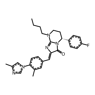 CCCCN1CC[C@H](c2ccc(F)cc2)N2C(=O)/C(=C/c3ccc(-n4cnc(C)c4)c(C)c3)N=C12